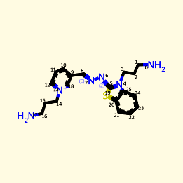 NCCCn1/c(=N/N=C/c2ccc[n+](CCCN)c2)sc2ccccc21